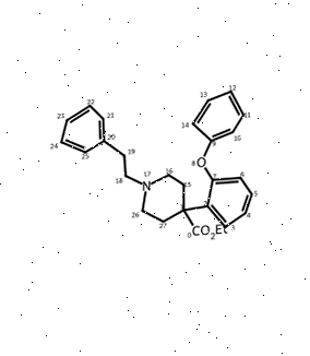 CCOC(=O)C1(c2ccccc2Oc2ccccc2)CCN(CCc2ccccc2)CC1